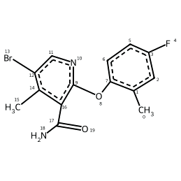 Cc1cc(F)ccc1Oc1ncc(Br)c(C)c1C(N)=O